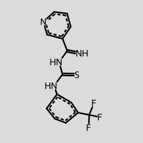 N=C(NC(=S)Nc1cccc(C(F)(F)F)c1)c1cccnc1